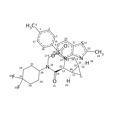 Cc1ccc(S(=O)(=O)N2C[C@H]3C[C@H]3[C@H]2C(=O)N(Cc2ccc3sc(C)nc3c2)C2CCC(F)(F)CC2)cc1